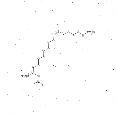 CCCCCCCC(CCCCCCCC/C=C\CCCCCC(=O)OCC)CN(C)C